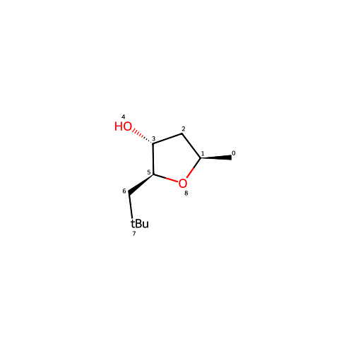 C[C@@H]1C[C@@H](O)[C@H](CC(C)(C)C)O1